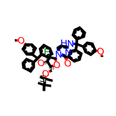 COc1ccc(C(Nc2ccn(C3O[C@H](CO[Si](C)(C)C(C)(C)C)[C@@H](OC(c4ccccc4)(c4ccccc4)c4ccc(OC)cc4)[C@H]3F)c(=O)n2)(c2ccccc2)c2ccccc2)cc1